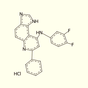 Cl.Fc1ccc(Nc2cc(-c3ccccc3)nc3ccc4nc[nH]c4c23)cc1F